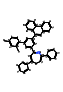 Cc1ccc(-c2cc(C3=NC(c4ccccc4)=CCC(c4ccccc4)=C3)cc(-c3cc4ccccc4c4ccccc34)c2)c(C)c1